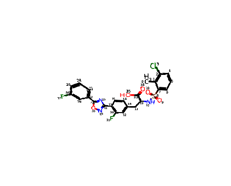 Cc1c(Cl)cccc1S(=O)(=O)NC(Cc1ccc(-c2noc(-c3cccc(F)c3)n2)c(F)c1)C(=O)O